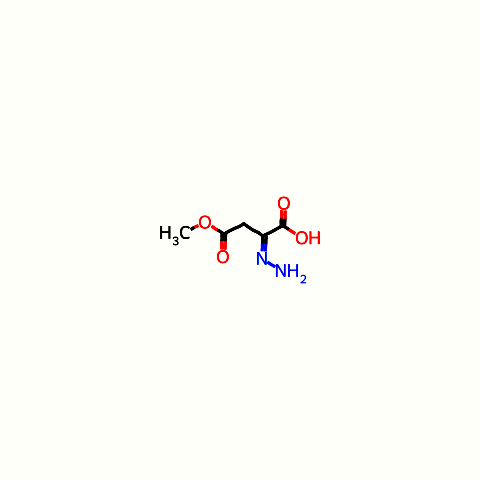 COC(=O)CC(=NN)C(=O)O